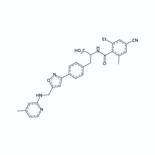 CCc1cc(C#N)cc(C)c1C(=O)NC(Cc1ccc(-c2cc(CNc3cc(C)ccn3)on2)cc1)C(=O)O